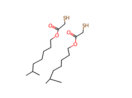 CC(C)CCCCCOC(=O)CS.CC(C)CCCCCOC(=O)CS